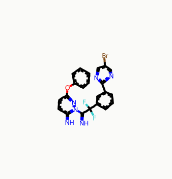 N=C(n1nc(Oc2ccccc2)ccc1=N)C(F)(F)c1cccc(-c2ncc(Br)cn2)c1